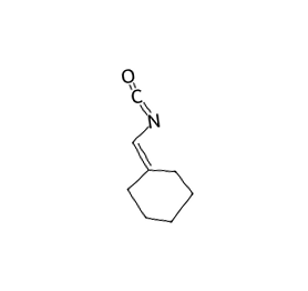 O=C=NC=C1CCCCC1